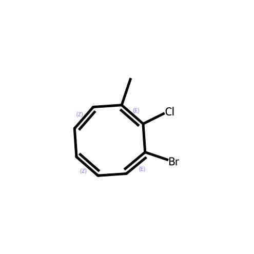 CC1=C(Cl)/C(Br)=C\C=C/C=C\1